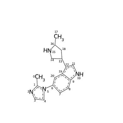 Cc1nccn1-c1ccc2[nH]cc(C3CNC(C)C3)c2c1